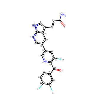 NC(=O)C=Cc1c[nH]c2ncc(-c3cnc(C(=O)c4ccc(F)c(F)c4)c(F)c3)cc12